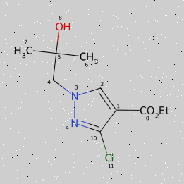 CCOC(=O)c1cn(CC(C)(C)O)nc1Cl